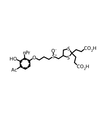 CCCc1c(OCCC[S+]([O-])CC2CSC(CCC(=O)O)(CCC(=O)O)S2)ccc(C(C)=O)c1O